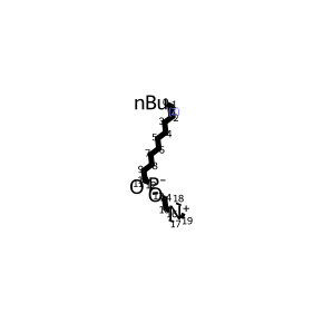 CCCC/C=C\CCCCCCCC(=O)[P-]OCC[N+](C)(C)C